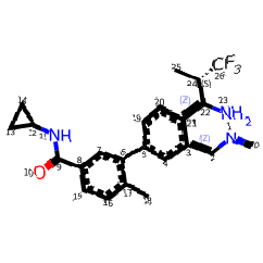 C=N/C=c1/cc(-c2cc(C(=O)NC3CC3)ccc2C)cc/c1=C(/N)[C@H](C)C(F)(F)F